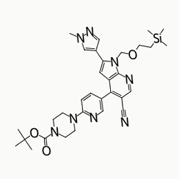 Cn1cc(-c2cc3c(-c4ccc(N5CCN(C(=O)OC(C)(C)C)CC5)nc4)c(C#N)cnc3n2COCC[Si](C)(C)C)cn1